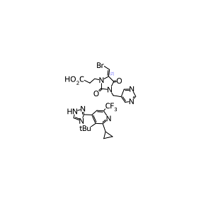 CC(C)(C)c1c(-c2nc[nH]n2)cc(C(F)(F)F)nc1C1CC1.O=C(O)CCN1C(=O)N(Cc2cncnc2)C(=O)/C1=C/Br